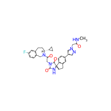 CNC(=O)Cn1cc(-c2ccc3c(c2)CC[C@]32NC(=O)N(CC(=O)N3Cc4ccc(F)cc4CC[C@@H]3C3CC3)C2=O)cn1